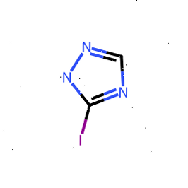 IC1=NC=N[N]1